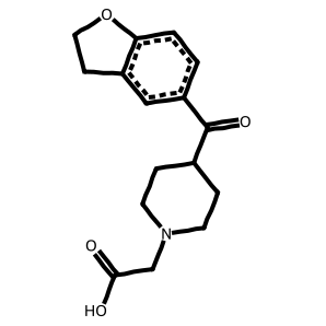 O=C(O)CN1CCC(C(=O)c2ccc3c(c2)CCO3)CC1